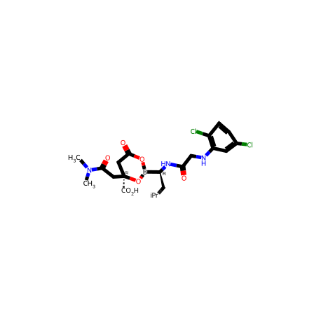 CC(C)C[C@H](NC(=O)CNc1cc(Cl)ccc1Cl)B1OC(=O)C[C@@](CC(=O)N(C)C)(C(=O)O)O1